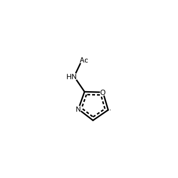 CC(=O)Nc1nc[c]o1